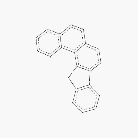 [c]1cccc2ccc3ccc4c(c3c12)Cc1ccccc1-4